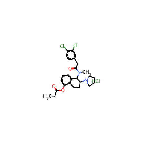 CCC(=O)Oc1cccc2c1CCC(N1CCCC1)C2N(C)C(=O)Cc1ccc(Cl)c(Cl)c1.Cl